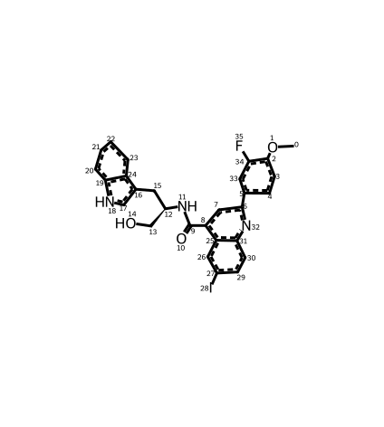 COc1ccc(-c2cc(C(=O)N[C@@H](CO)Cc3c[nH]c4ccccc34)c3cc(I)ccc3n2)cc1F